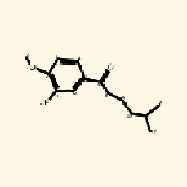 COc1ccc(C(=O)CCCC(C)C)cc1F